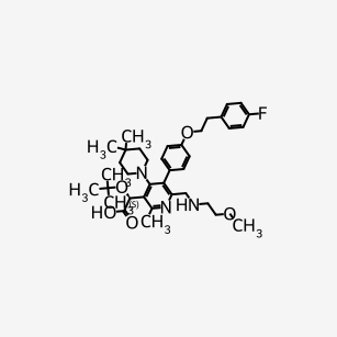 COCCNCc1nc(C)c([C@H](OC(C)(C)C)C(=O)O)c(N2CCC(C)(C)CC2)c1-c1ccc(OCCc2ccc(F)cc2)cc1